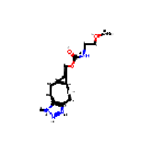 CCCCOCCNC(=O)OCC1C2CCc3nnn(C)c3CCC21